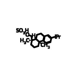 CC(C)c1ccc2c(c1)CC[C@H]1[C@](C)(COS(=O)(=O)O)CCC[C@]21C